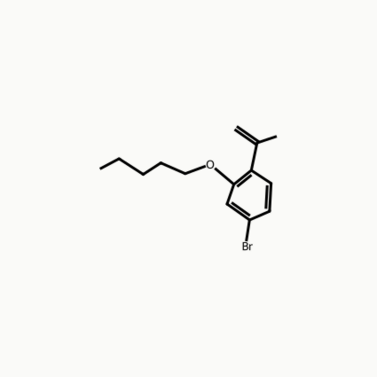 C=C(C)c1ccc(Br)cc1OCCCCC